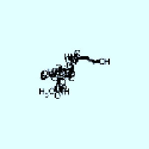 C#CCCCCC#Cc1cn([C@H]2CC(OP(=O)(O)OC[C@H]3O[C@@H](n4cc(C)c(=O)[nH]c4=O)CC3OP(=O)(O)OC[C@@H]3CCCO3)[C@@H](COP(=O)(O)O)O2)c(=O)[nH]c1=O